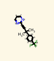 CC(C)(C#Cc1ncccn1)c1ccc(C(F)(F)F)cc1